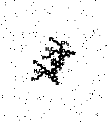 CC(C)CCCCCCC1(CCC(C)CCCC(C)C)OC2=C(SC(Br)C2)c2sc(-c3c(F)c(F)c(-c4cc5c(s4)C4=C(CC(Br)S4)OC5(CCC(C)CCCC(C)C)CCC(C)CCCC(C)C)c4nsnc34)cc21